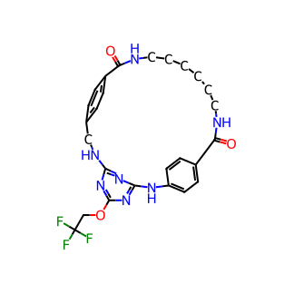 O=C1NCCCCCCNC(=O)c2ccc(cc2)Nc2nc(nc(OCC(F)(F)F)n2)NCc2ccc1cc2